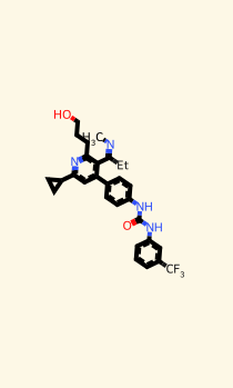 CC/C(=N/C)c1c(-c2ccc(NC(=O)Nc3cccc(C(F)(F)F)c3)cc2)cc(C2CC2)nc1CCCO